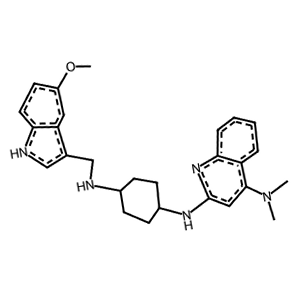 COc1ccc2[nH]cc(CNC3CCC(Nc4cc(N(C)C)c5ccccc5n4)CC3)c2c1